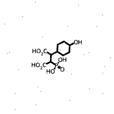 O=C(O)C(C1CCC(O)CC1)C(C(=O)O)P(=O)(O)O